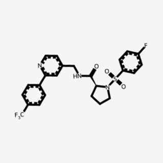 O=C(NCc1ccnc(-c2ccc(C(F)(F)F)cc2)c1)[C@@H]1CCCN1S(=O)(=O)c1ccc(F)cc1